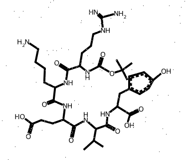 CC(C)C(NC(=O)C(CCC(=O)O)NC(=O)C(CCCCN)NC(=O)C(CCCNC(=N)N)NC(=O)OC(C)(C)C)C(=O)NC(Cc1ccc(O)cc1)C(=O)O